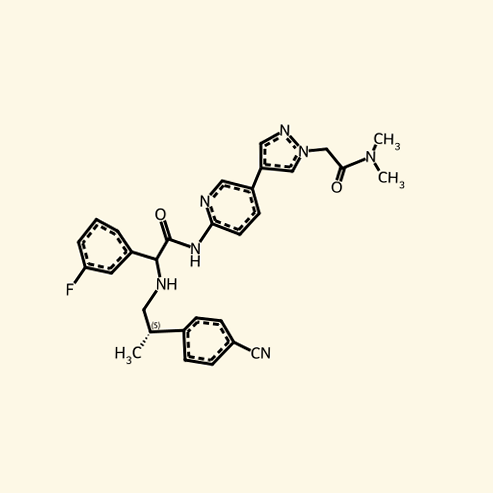 C[C@H](CNC(C(=O)Nc1ccc(-c2cnn(CC(=O)N(C)C)c2)cn1)c1cccc(F)c1)c1ccc(C#N)cc1